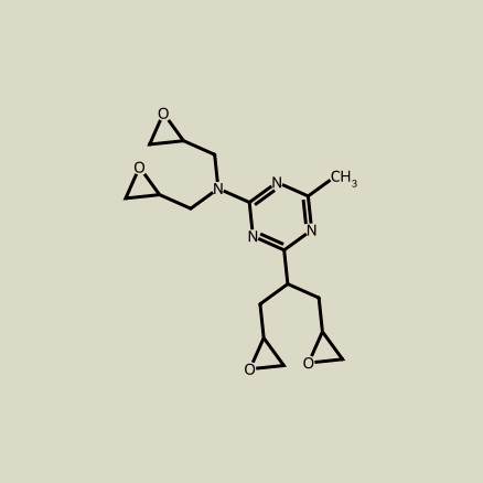 Cc1nc(C(CC2CO2)CC2CO2)nc(N(CC2CO2)CC2CO2)n1